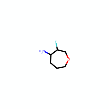 NC1CC[CH]OCC1F